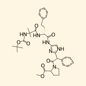 COC(=O)C1CCCN1C(=O)C(c1ccccc1)c1nc(NC(=O)[C@@H](CCc2ccccc2)NC(=O)C(C)(C)NC(=O)OC(C)(C)C)c[nH]1